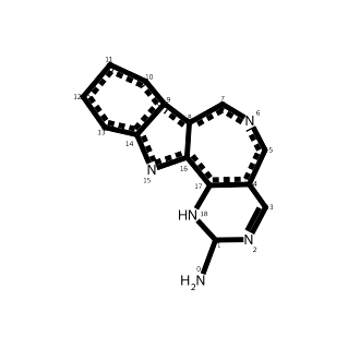 NC1N=Cc2cncc3c4ccccc4nc-3c2N1